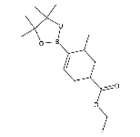 CCOC(=O)C1CC=C(B2OC(C)(C)C(C)(C)O2)C(C)C1